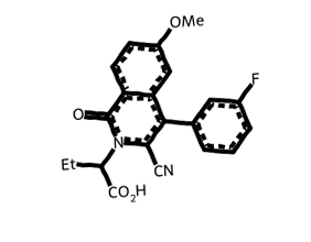 CCC(C(=O)O)n1c(C#N)c(-c2cccc(F)c2)c2cc(OC)ccc2c1=O